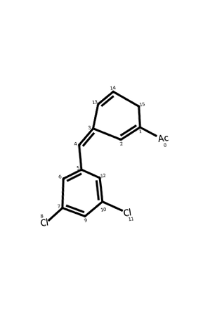 CC(=O)C1=C/C(=C\c2cc(Cl)cc(Cl)c2)C=CC1